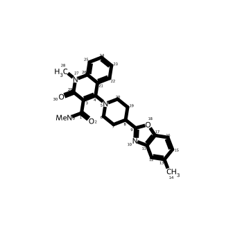 CNC(=O)c1c(N2CCC(c3nc4cc(C)ccc4o3)CC2)c2ccccc2n(C)c1=O